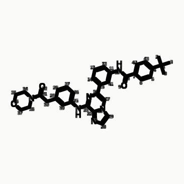 CC(C)(C)c1ccc(C(=O)Nc2cccc(-c3cn4ccnc4c(Nc4cccc(CC(=O)N5CCOCC5)c4)n3)c2)cc1